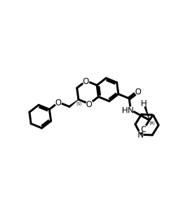 O=C(N[C@H]1CN2CCC1CC2)c1ccc2c(c1)O[C@@H](COC1=CCCC=C1)CO2